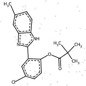 Cc1ccc2[nH]c(-c3cc(Cl)ccc3OC(=O)C(C)(C)C)nc2c1